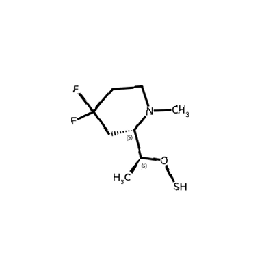 C[C@H](OS)[C@@H]1CC(F)(F)CCN1C